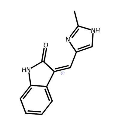 Cc1nc(/C=C2\C(=O)Nc3ccccc32)c[nH]1